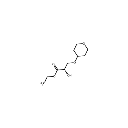 CCOC(=O)[C@H](O)COC1CCOCC1